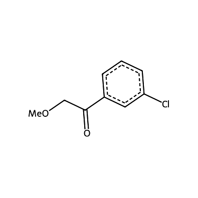 COCC(=O)c1cccc(Cl)c1